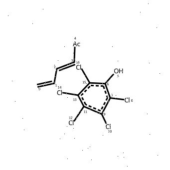 C=CC=CC(C)=O.Oc1c(Cl)c(Cl)c(Cl)c(Cl)c1Cl